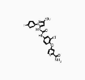 CC(C)(C)c1cc(NC(=O)Nc2ccc(Oc3ccnc(C(N)=O)c3)c(Cl)c2)n(-c2ccc(F)cc2)n1